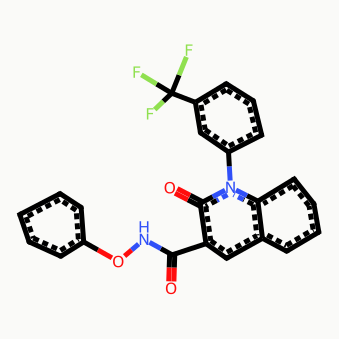 O=C(NOc1ccccc1)c1cc2ccccc2n(-c2cccc(C(F)(F)F)c2)c1=O